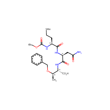 CSCC[C@H](NC(=O)OC(C)(C)C)C(=O)N[C@@H](CC(N)=O)C(=O)N[C@H](C(=O)O)[C@@H](C)OCc1ccccc1